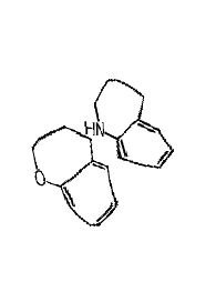 c1ccc2c(c1)CCCN2.c1ccc2c(c1)CCCO2